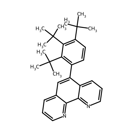 CC(C)(C)c1ccc(-c2cc3cccnc3c3ncccc23)c(C(C)(C)C)c1C(C)(C)C